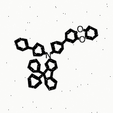 c1ccc(-c2ccc(N(c3ccc(-c4ccc5c(c4)Oc4ccccc4O5)cc3)c3ccc4c(c3)C(c3ccccc3)(c3ccccc3)c3ccccc3-4)cc2)cc1